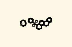 C1=CCC=NC=C1.O=S(=O)(c1ccccc1)C1C=CCc2c1ccc1c2CCc2ccccc2-1